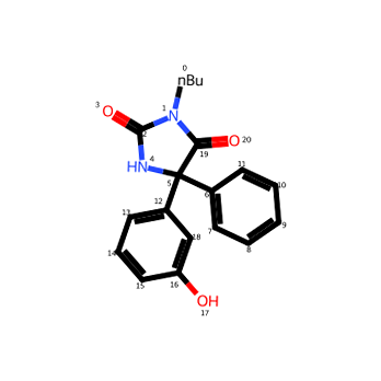 CCCCN1C(=O)NC(c2ccccc2)(c2cccc(O)c2)C1=O